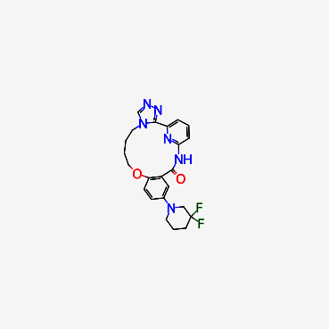 O=C1Nc2cccc(n2)-c2nncn2CCCCOc2ccc(N3CCCC(F)(F)C3)cc21